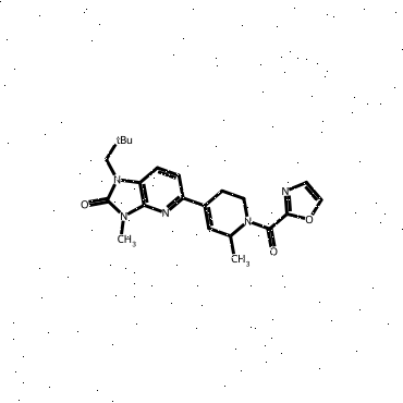 CC1C=C(c2ccc3c(n2)n(C)c(=O)n3CC(C)(C)C)CCN1C(=O)c1ncco1